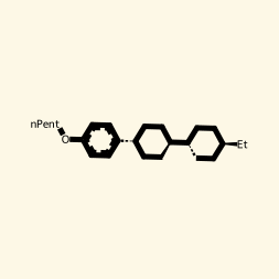 CCCCCOc1ccc([C@H]2CC[C@H]([C@H]3CC[C@H](CC)CC3)CC2)cc1